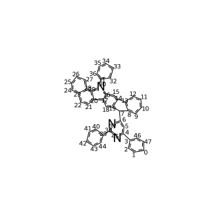 c1ccc(-c2cc(C3c4ccccc4-c4cc5c(cc43)c3ccc4ccccc4c3n5-c3ccccc3)nc(-c3ccccc3)n2)cc1